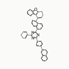 C1=CC(c2nc(-c3ccc(-c4ccc5ccccc5c4)cc3)nc(-c3cccc4c(C5=CCCc6oc7ccccc7c65)cccc34)n2)=CCC1